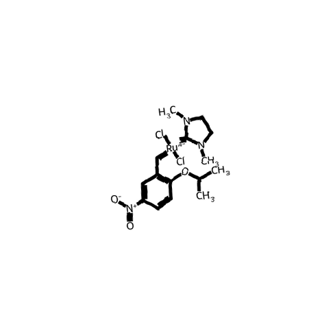 CC(C)Oc1ccc([N+](=O)[O-])cc1[CH]=[Ru-4]([Cl])([Cl])=[C]1N(C)CCN1C